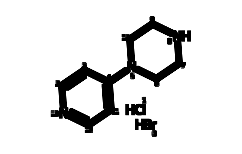 Br.Cl.c1cc(N2CCNCC2)ccn1